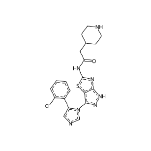 O=C(CC1CCNCC1)Nc1nc2[nH]nc(-n3cncc3-c3ccccc3Cl)c2s1